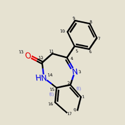 C/C=C1/N=C(c2ccccc2)CC(=O)N/C1=C/C